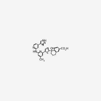 Cc1cc(Nc2cc(-c3c[nH]nn3)ccn2)nc(-c2cnc(C3(O)CCCc4cc(C(=O)O)ccc43)s2)c1